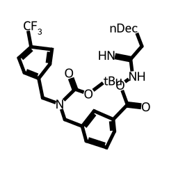 CCCCCCCCCCCC(=N)NOC(=O)c1cccc(CN(Cc2ccc(C(F)(F)F)cc2)C(=O)OC(C)(C)C)c1